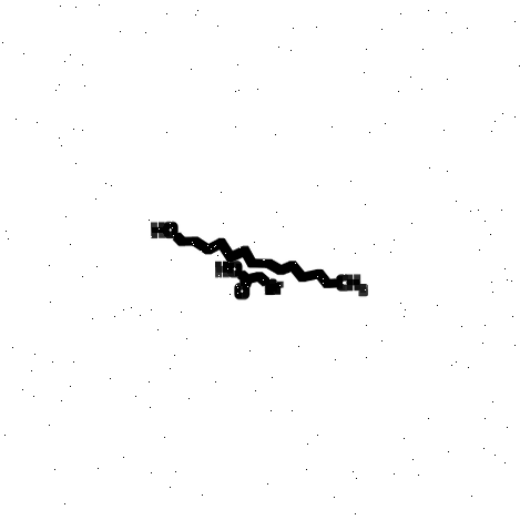 CCCCCCCCCCCCCCO.O=C(O)CBr